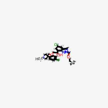 C[Si](C)(C)CCOCn1cc2cc(Cl)cc(C(O)COCC3(c4ccc(F)cc4)CCN(C(=O)O)CC3)c2n1